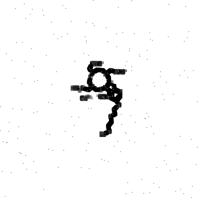 CCOCCOCCOc1ccc(C[C@H]2CN(CC(=O)[O-])CCN(CC(=O)[O-])CCN(CC(=O)O)CCN2CC(=O)[O-])nc1.[Gd+3]